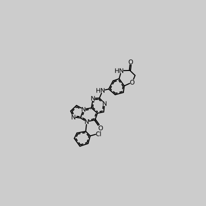 O=C1COc2ccc(Nc3ncc4c(=O)n(-c5ccccc5Cl)c5nccn5c4n3)cc2N1